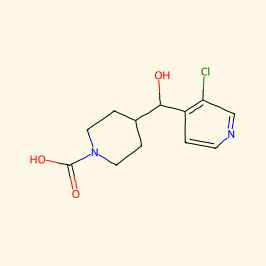 O=C(O)N1CCC(C(O)c2ccncc2Cl)CC1